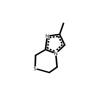 Cc1cn2c(n1)CSCC2